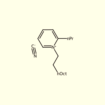 CCCCCCCCCC[n+]1ccccc1CCC.[C-]#N